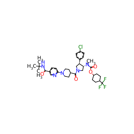 CN(C(=O)OC1CCC(C(F)(F)F)CC1)[C@@H]1CN(C(=O)C2CCN(c3ccc(C(=O)NC(C)(C)C)cn3)CC2)C[C@H]1c1ccc(Cl)cc1